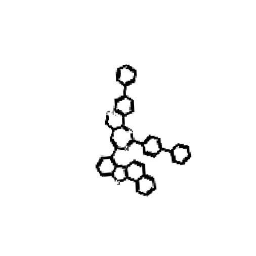 CCC1C=C(c2cccc3sc4c5ccccc5ccc4c23)N=C(c2ccc(-c3ccccc3)cc2)N=C1c1ccc(-c2ccccc2)cc1